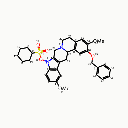 COc1ccc2c(c1)c1c(n2OS(=O)(=O)C2CCCCC2)CN2CCc3cc(OC)c(OCc4ccccc4)cc3C2C1